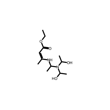 CCOC(=O)C=C(C)NC(C)N(C(C)O)C(C)O